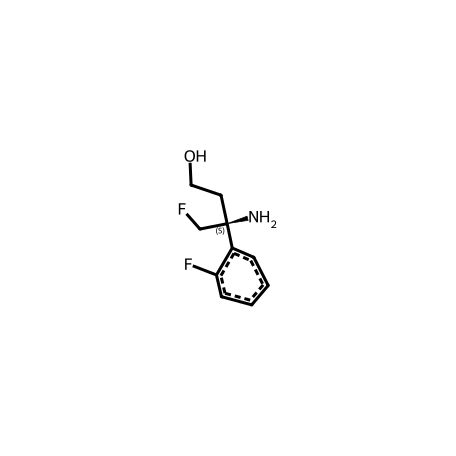 N[C@@](CF)(CCO)c1ccccc1F